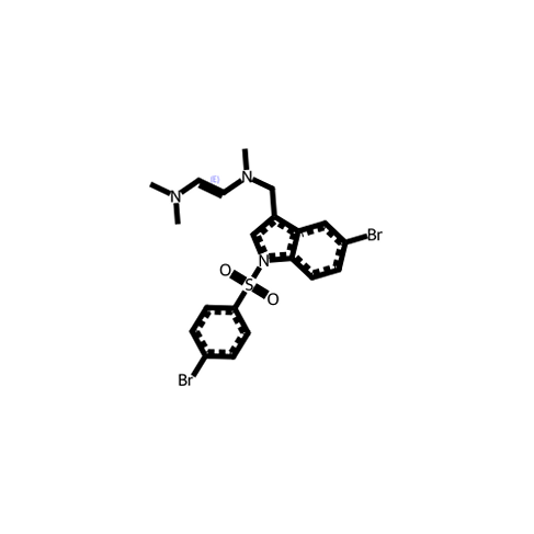 CN(C)/C=C/N(C)Cc1cn(S(=O)(=O)c2ccc(Br)cc2)c2ccc(Br)cc12